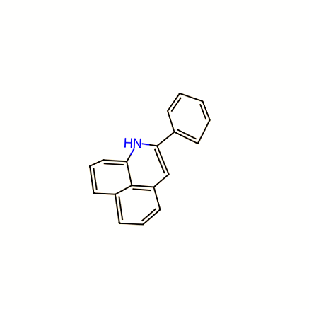 C1=C(c2ccccc2)Nc2cccc3cccc1c23